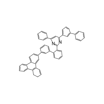 C1=Cc2c(c3ccccc3c3ccc(-c4cccc(-c5ccccc5-c5nc(-c6ccccc6)cc(-c6cccc(-c7ccccc7)c6)n5)c4)cc23)CC1